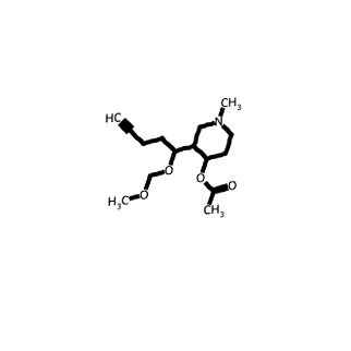 C#CCCC(OCOC)C1CN(C)CCC1OC(C)=O